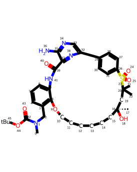 CN(Cc1cccc2c1OCCCCCC[C@](C)(O)CC(C)(C)S(=O)(=O)c1ccc(cc1)-c1cnc(N)c(n1)C(=O)N2)C(=O)OC(C)(C)C